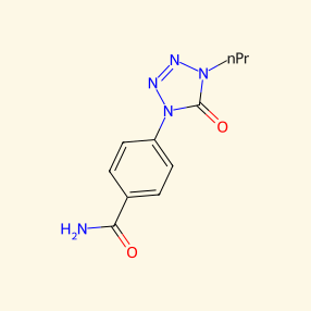 CCCn1nnn(-c2ccc(C(N)=O)cc2)c1=O